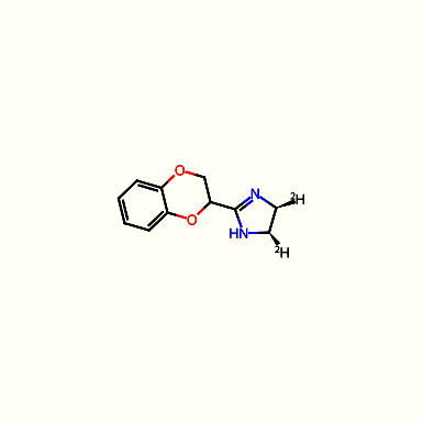 [2H][C@@H]1N=C(C2COc3ccccc3O2)N[C@@H]1[2H]